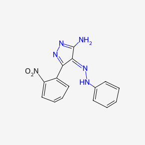 NC1=NN=C(c2ccccc2[N+](=O)[O-])/C1=N\Nc1ccccc1